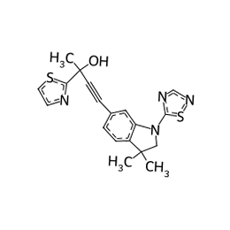 CC(O)(C#Cc1ccc2c(c1)N(c1ncns1)CC2(C)C)c1nccs1